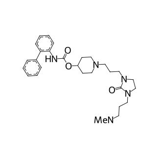 CNCCCN1CCN(CCCN2CCC(OC(=O)Nc3ccccc3-c3ccccc3)CC2)C1=O